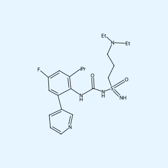 CCN(CC)CCCS(=N)(=O)NC(=O)Nc1c(-c2cccnc2)cc(F)cc1C(C)C